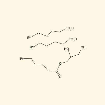 CC(C)CCCCC(=O)O.CC(C)CCCCC(=O)O.CC(C)CCCCC(=O)OCC(O)CO